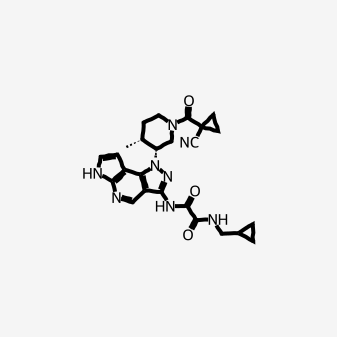 C[C@@H]1CCN(C(=O)C2(C#N)CC2)C[C@@H]1n1nc(NC(=O)C(=O)NCC2CC2)c2cnc3[nH]ccc3c21